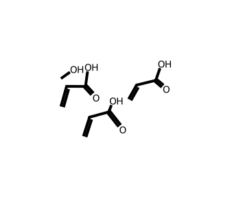 C=CC(=O)O.C=CC(=O)O.C=CC(=O)O.CO